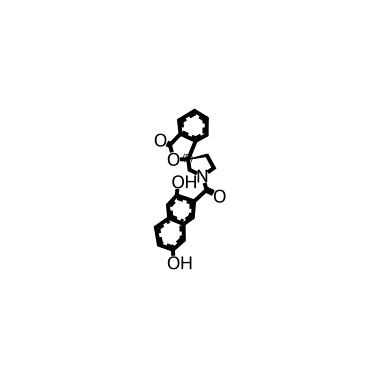 O=C1O[C@]2(CCN(C(=O)c3cc4cc(O)ccc4cc3O)C2)c2ccccc21